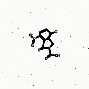 O=C(O)N1Cc2c(Cl)ccc([N+](=O)[O-])c2C1=O